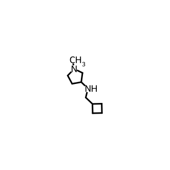 CN1CCC(NCC2CCC2)C1